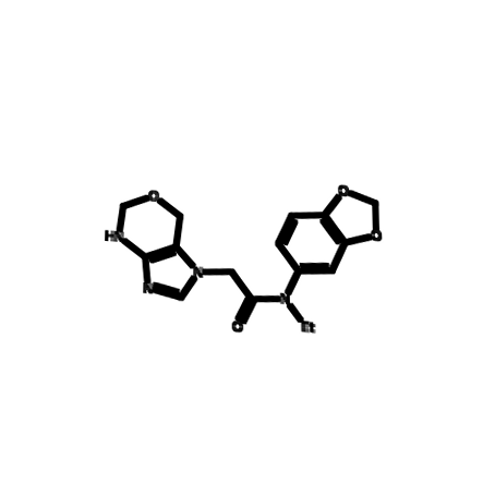 CCN(C(=O)Cn1cnc2c1COCN2)c1ccc2c(c1)OCO2